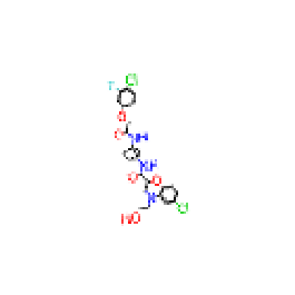 O=C(COc1ccc(Cl)c(F)c1)NC12CC(C1)C(NC(=O)C1CN(CCO)c3cc(Cl)ccc3O1)C2